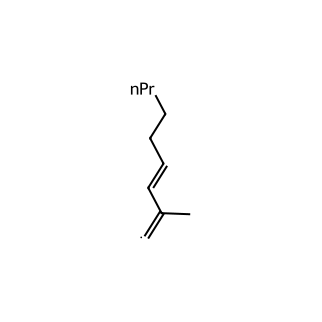 [CH]=C(C)C=CCCCCC